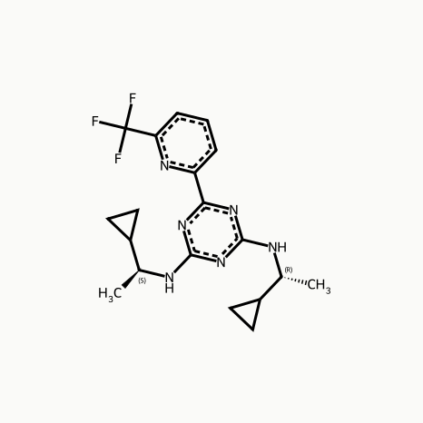 C[C@H](Nc1nc(N[C@H](C)C2CC2)nc(-c2cccc(C(F)(F)F)n2)n1)C1CC1